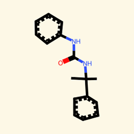 CC(C)(NC(=O)Nc1ccccc1)c1ccccc1